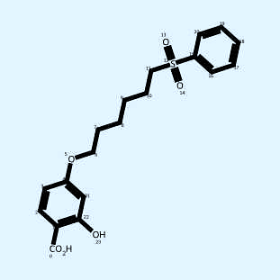 O=C(O)c1ccc(OCCCCCCS(=O)(=O)c2ccccc2)cc1O